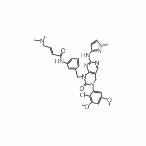 COc1cc(OC)c(Cl)c(N2Cc3cnc(Nc4ccn(C)n4)nc3N(Cc3cccc(NC(=O)/C=C/CN(C)C)c3)C2=O)c1